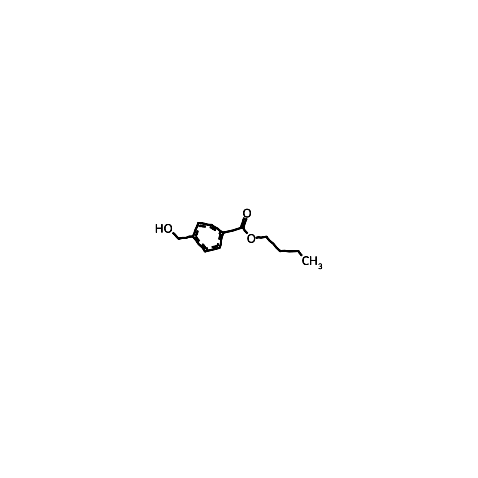 CCCCOC(=O)c1ccc(CO)cc1